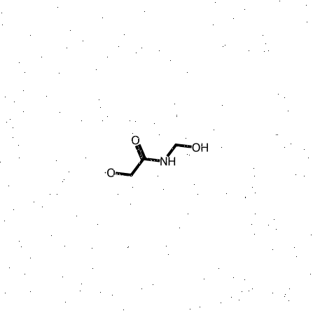 [O]CC(=O)NCO